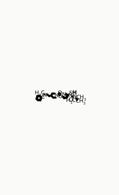 CN(CCC1CCN(C(=O)Oc2ccc(N(S)C(=O)NC(C)(C)C)cn2)CC1)Cc1ccccc1